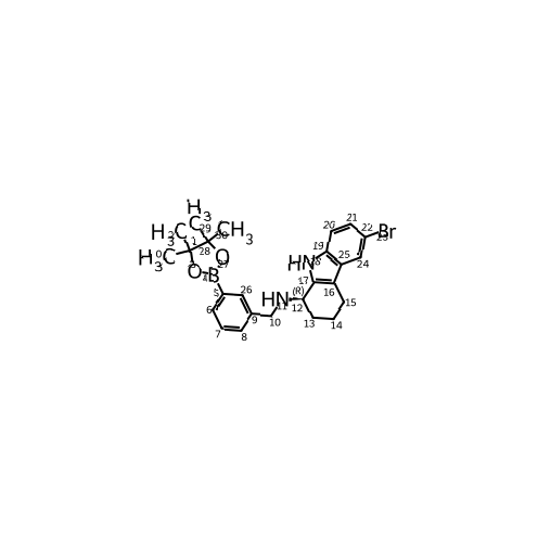 CC1(C)OB(c2cccc(CN[C@@H]3CCCc4c3[nH]c3ccc(Br)cc43)c2)OC1(C)C